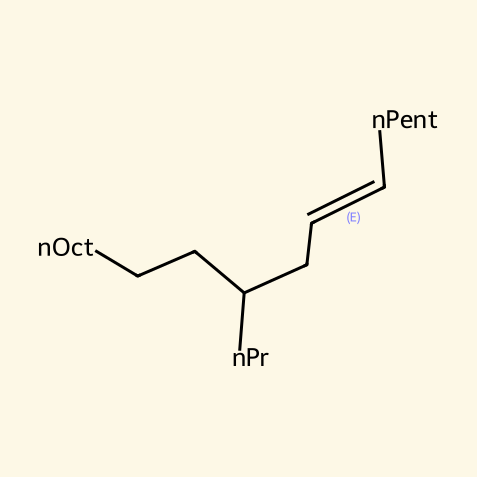 [CH2]CCCC/C=C/CC(CCC)CCCCCCCCC[CH2]